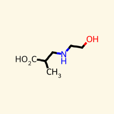 CC(CNCCO)C(=O)O